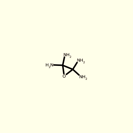 NC1(N)OC1(N)N